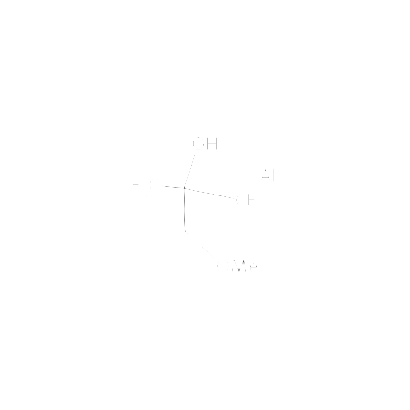 COCC(O)(C(F)(F)F)C(F)(F)F.[Al]